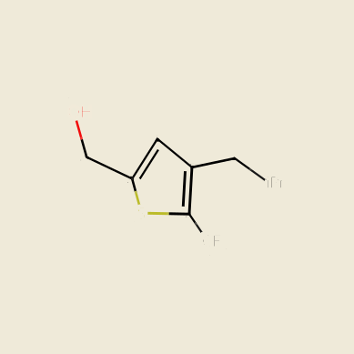 CC(C)Cc1cc(CO)sc1C(F)(F)F